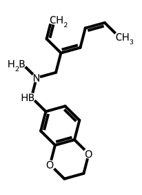 BN(Bc1ccc2c(c1)OCCO2)C/C(C=C)=C/C=C\C